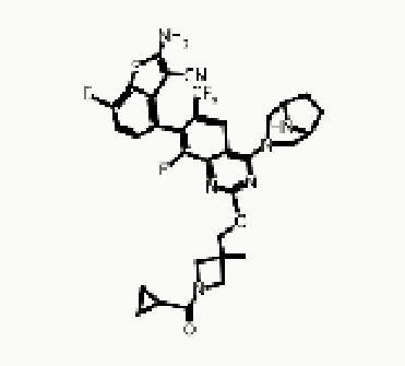 CC1(COc2nc(N3CC4CCC(C3)N4)c3cc(C(F)(F)F)c(-c4ccc(F)c5sc(N)c(C#N)c45)c(F)c3n2)CN(C(=O)C2CC2)C1